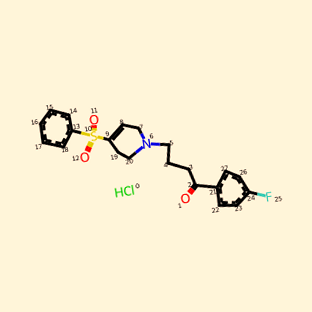 Cl.O=C(CCCN1CC=C(S(=O)(=O)c2ccccc2)CC1)c1ccc(F)cc1